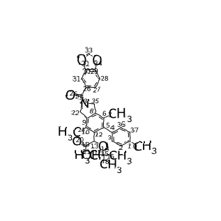 Cc1ccc(-c2c(C)c3c(c(C)c2C(OC(C)(C)C)C(=O)O)CN(C(=O)c2ccc4c(c2)OCO4)C3)cc1